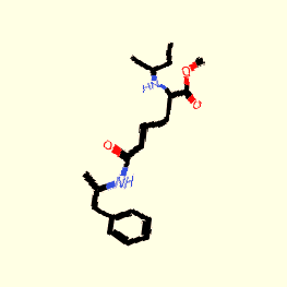 CCC(C)NC(CCCC(=O)NC(C)Cc1ccccc1)C(=O)OC